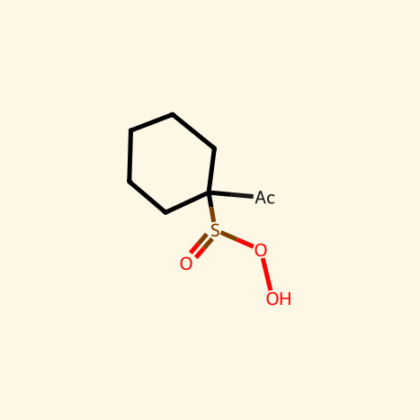 CC(=O)C1(S(=O)OO)CCCCC1